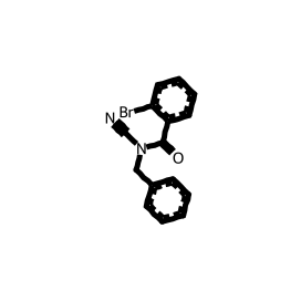 N#CN(Cc1ccccc1)C(=O)c1ccccc1Br